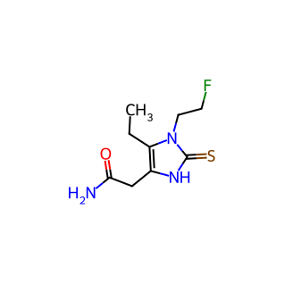 CCc1c(CC(N)=O)[nH]c(=S)n1CCF